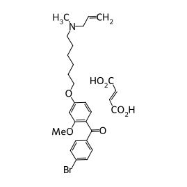 C=CCN(C)CCCCCCOc1ccc(C(=O)c2ccc(Br)cc2)c(OC)c1.O=C(O)C=CC(=O)O